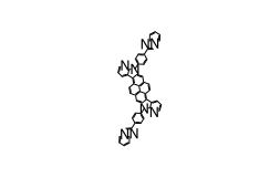 c1cnc2c(c1)c1c3ccc4cc5c(c6ccc(cc1n2-c1ccc(-c2cn7ccccc7n2)cc1)c3c46)c1cccnc1n5-c1ccc(-c2cn3ccccc3n2)cc1